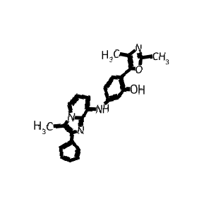 Cc1nc(C)c(-c2ccc(Nc3cccn4c(C)c(-c5ccccc5)nc34)cc2O)o1